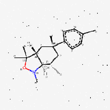 Cc1ccc([C@@]2(C)C[C@@H]3[C@@H]([C@@H](C)C2)N(C)OC3(C)C)cc1